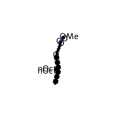 CCCCCCCCC1(CCCCCCCC)c2cc(-c3ccc(-c4ccc(C)cc4)cc3)ccc2-c2ccc(-c3ccc(-c4ccc(OCCCCCCCCOC(=O)/C=C/C(=O)OC)cc4)cc3)cc21